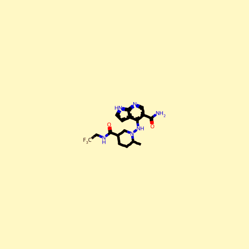 CC1CCC(C(=O)NCC(F)(F)F)CN1Nc1c(C(N)=O)cnc2[nH]ccc12